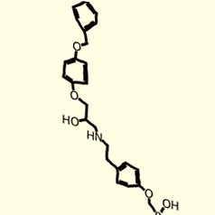 O=P(O)(O)COc1ccc(CCNCC(O)COc2ccc(OCc3ccccc3)cc2)cc1